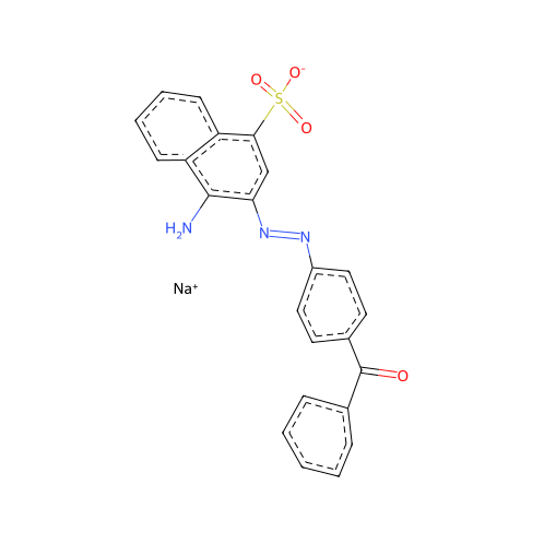 Nc1c(N=Nc2ccc(C(=O)c3ccccc3)cc2)cc(S(=O)(=O)[O-])c2ccccc12.[Na+]